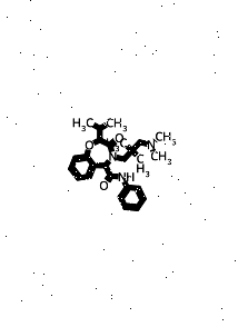 CC(C)C1Oc2ccccc2C(C(=O)Nc2ccccc2)N(CC(C)(C)CN(C)C)C1=O